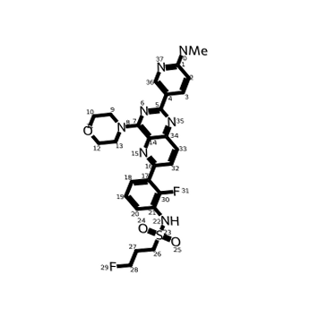 CNc1ccc(-c2nc(N3CCOCC3)c3nc(-c4cccc(NS(=O)(=O)CCCF)c4F)ccc3n2)cn1